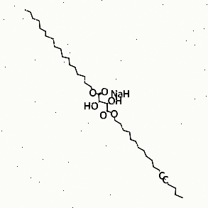 CCCCCCCCCCCCCCCCCCOC(=O)C(O)C(O)C(=O)OCCCCCCCCCCCCCCCCCC.[NaH]